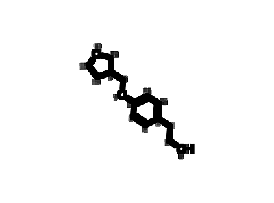 OCCc1ccc(OCC2CCOC2)cc1